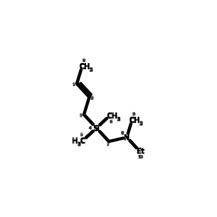 CC=CC[Si](C)(C)CN(C)CC